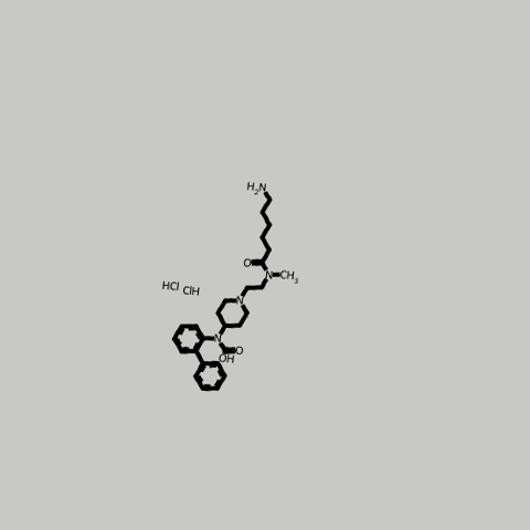 CN(CCN1CCC(N(C(=O)O)c2ccccc2-c2ccccc2)CC1)C(=O)CCCCCN.Cl.Cl